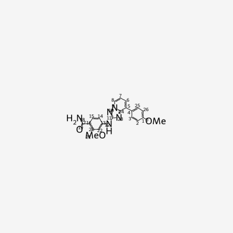 COc1ccc(-c2cccn3nc(Nc4ccc(C(N)=O)c(OC)c4)nc23)cc1